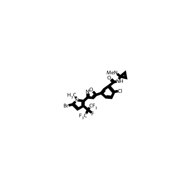 CNC1(NC(=O)c2cc(-c3cc(-c4c(C(F)(C(F)(F)F)C(F)(F)F)cc(Br)n4C)no3)ccc2Cl)CC1